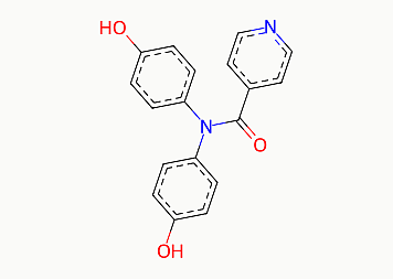 O=C(c1ccncc1)N(c1ccc(O)cc1)c1ccc(O)cc1